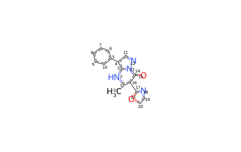 Cc1[nH]c2c(-c3ccccc3)cnn2c(=O)c1-c1ncco1